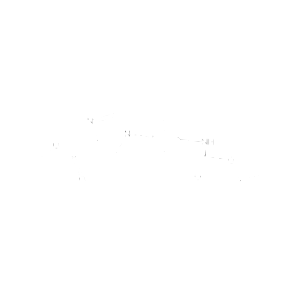 CCOC(=O)c1cn(C23CC(NC(=O)OC(C)(C)C)(C2)C3)cn1